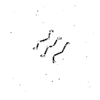 CC(C)(C)OOC(C)(C)C.CC(C)(C)OOC(C)(C)C.CC(C)CCC(C)C